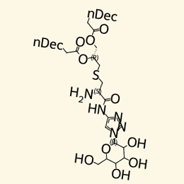 CCCCCCCCCCCC(=O)OC[C@H](CSC[C@@H](N)C(=O)Nc1cn([C@@H]2OC(CO)C(O)C(O)C2O)nn1)OC(=O)CCCCCCCCCCC